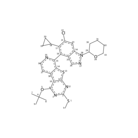 CSc1nc(OC(C)(C)C)c2c(n1)sc1c(-c3c(C4CC4)c(Cl)cc4c3cnn4C3CCCCO3)nccc12